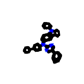 c1ccc(-c2ccc(N(c3ccc4c(c3)c3ccccc3n4-c3ccccc3)c3ncc(-c4ccccc4)cn3)cc2)cc1